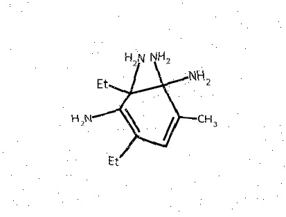 CCC1=C(N)C(N)(CC)C(N)(N)C(C)=C1